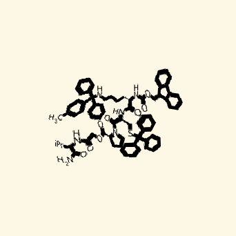 Cc1ccc(C(NCCCC[C@H](NC(=O)OCC2c3ccccc3-c3ccccc32)C(=O)N[C@@H](CSC(c2ccccc2)(c2ccccc2)c2ccccc2)C(=O)N2CCC[C@H]2C(=O)OCC(=O)NC(C(N)=O)C(C)C)(c2ccccc2)c2ccccc2)cc1